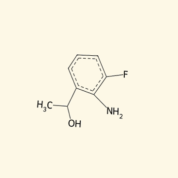 CC(O)c1cccc(F)c1N